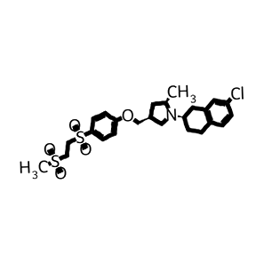 C[C@@H]1C[C@H](COc2ccc(S(=O)(=O)CCS(C)(=O)=O)cc2)CN1[C@H]1CCc2ccc(Cl)cc2C1